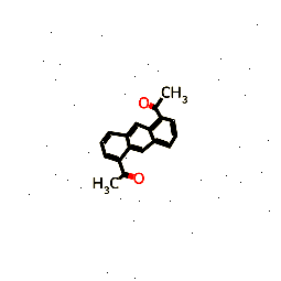 CC(=O)c1cccc2cc3c(C(C)=O)cccc3cc12